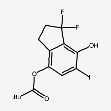 CCC(C)C(=O)Oc1cc(I)c(O)c2c1CCC2(F)F